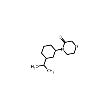 CC(C)C1CCCC(N2CCOCC2=O)C1